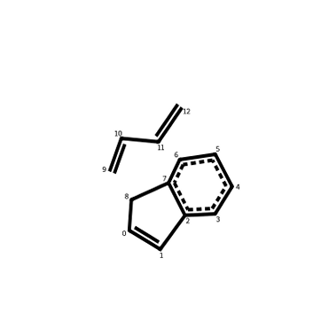 C1=Cc2ccccc2C1.C=CC=C